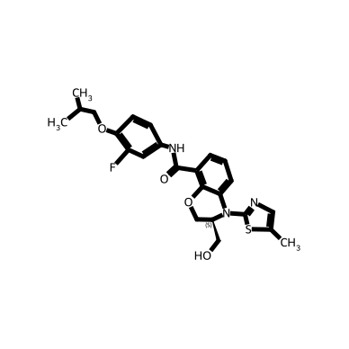 Cc1cnc(N2c3cccc(C(=O)Nc4ccc(OCC(C)C)c(F)c4)c3OC[C@@H]2CO)s1